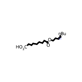 CCCC/C=C\CCOC(=O)CCCCCCCC(=O)O